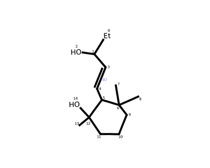 CCC(O)/C=C/C1C(C)(C)CCCC1(C)O